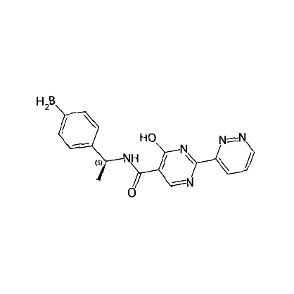 Bc1ccc([C@H](C)NC(=O)c2cnc(-c3cccnn3)nc2O)cc1